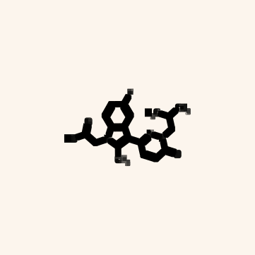 Cc1c(-c2ccc(=O)n(CC(C)C)n2)c2cc(F)ccc2n1CC(=O)O